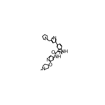 CN1CCC(Oc2cc(NC(=O)c3n[nH]c4ccc(-c5cncc(CN6CCCC6)c5)cc34)ccn2)CC1